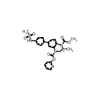 COC(=O)N1c2ccc(-c3ccc(NS(C)(=O)=O)cc3)cc2N(C(=O)Oc2ccccn2)C[C@@H]1C